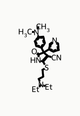 CCN(CC)CCCSC1=C(C#N)C(c2ccc(N(C)C)cc2)(c2cccnc2)C(=O)N1